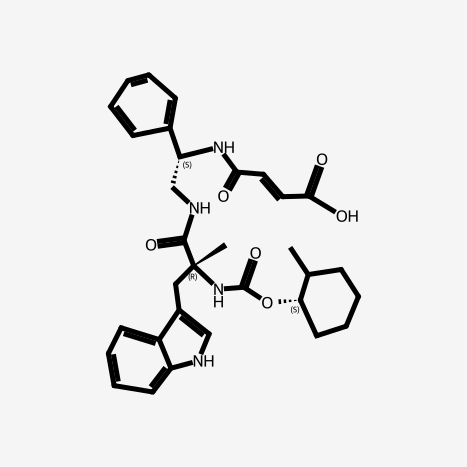 CC1CCCC[C@@H]1OC(=O)N[C@](C)(Cc1c[nH]c2ccccc12)C(=O)NC[C@@H](NC(=O)C=CC(=O)O)c1ccccc1